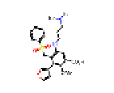 CCN(CC)CCCNc1cc(C(=O)O)c(OC)c(-c2ccoc2)c1CS(=O)(=O)c1ccccc1